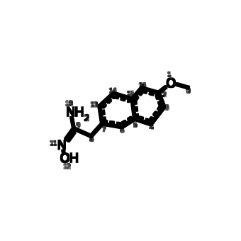 COc1ccc2cc(C/C(N)=N\O)ccc2c1